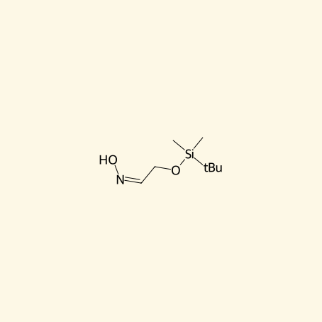 CC(C)(C)[Si](C)(C)OC/C=N\O